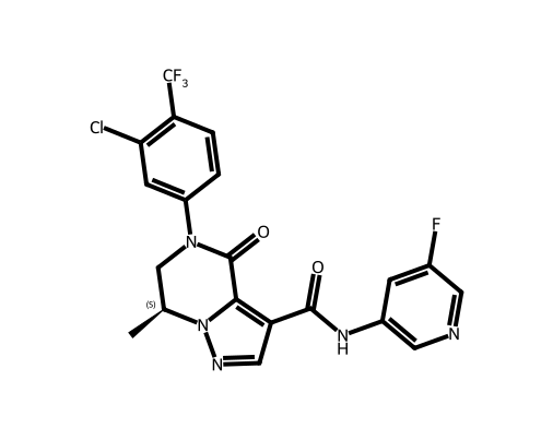 C[C@H]1CN(c2ccc(C(F)(F)F)c(Cl)c2)C(=O)c2c(C(=O)Nc3cncc(F)c3)cnn21